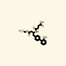 CCOC(=O)CC(Cc1ccc(-c2ccccc2O)cc1)NC(=O)CCC(=O)O